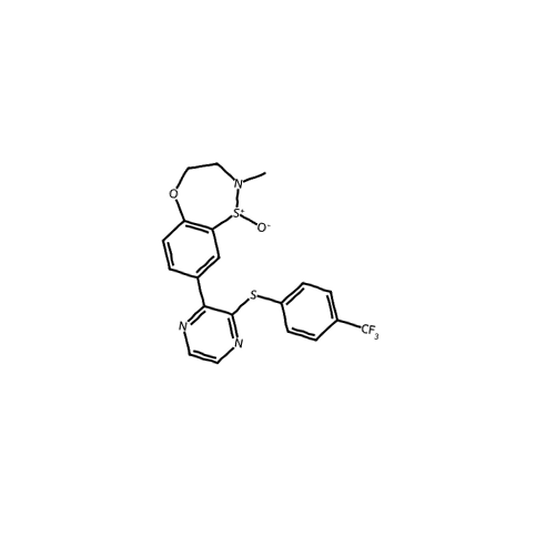 CN1CCOc2ccc(-c3nccnc3Sc3ccc(C(F)(F)F)cc3)cc2[S+]1[O-]